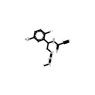 Bc1ccc(F)c(C(CN=[N+]=NC)NC(=O)C#C)c1